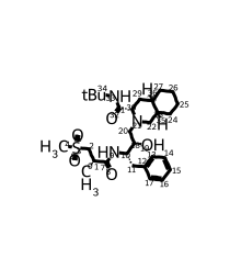 C[C@H](CS(C)(=O)=O)C(=O)N[C@@H](Cc1ccccc1)[C@H](O)CN1C[C@H]2CCCC[C@H]2C[C@H]1C(=O)NC(C)(C)C